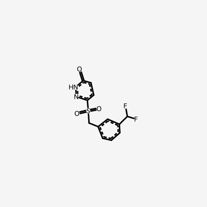 O=c1ccc(S(=O)(=O)Cc2cccc(C(F)F)c2)n[nH]1